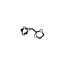 c1ncn(CC2OCCO2)n1